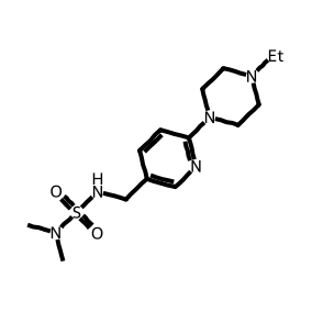 CCN1CCN(c2ccc(CNS(=O)(=O)N(C)C)cn2)CC1